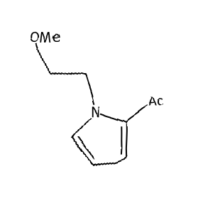 COCCn1cccc1C(C)=O